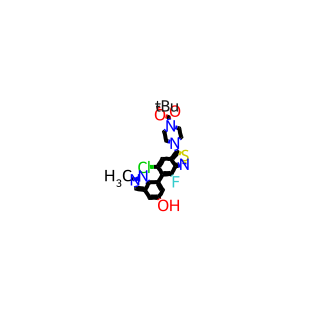 Cn1cc2cc(O)cc(-c3c(Cl)cc4c(N5CCN(C(=O)OC(C)(C)C)CC5)snc4c3F)c2n1